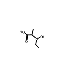 CCN(O)C(C)C(=O)O